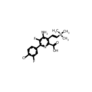 C[Si](C)(C)C=Cc1c(C(=O)O)nc(-c2ccc(Cl)c(F)c2)c(F)c1N